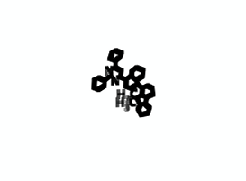 CC1(C)c2ccccc2-c2cccc(-c3ccc(-c4cc(-c5ccccc5)nc(-c5ccccc5)n4)c4ccccc34)c21